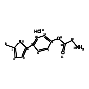 Cc1ccc(-c2ccc(OC(=O)CN)cc2)s1.Cl